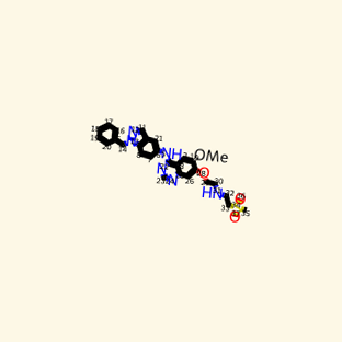 COc1cc2c(Nc3ccc4c(cnn4Cc4ccccc4)c3)ncnc2cc1OCCNCCS(C)(=O)=O